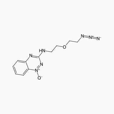 [N-]=[N+]=NCCOCCNc1nc2ccccc2[n+]([O-])n1